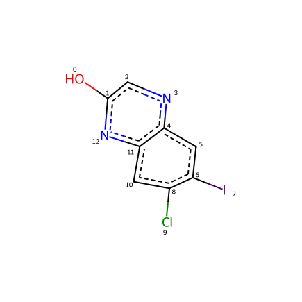 Oc1cnc2cc(I)c(Cl)cc2n1